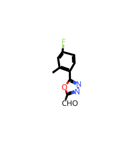 Cc1cc(F)ccc1-c1nnc(C=O)o1